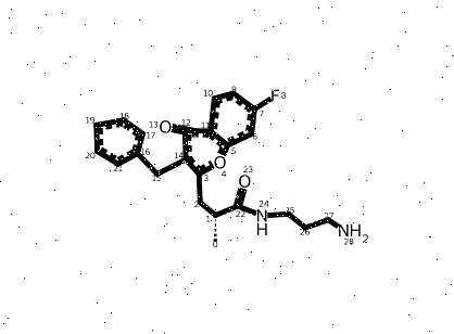 C[C@H]([CH]c1oc2cc(F)ccc2c(=O)c1Cc1ccccc1)C(=O)NCCCN